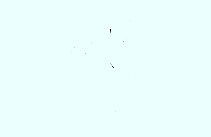 COc1ccc([C@]23CCN(C)[C@H]2CC2(CC3)NCCS2)cc1OC